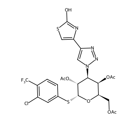 CC(=O)OC[C@H]1O[C@H](Sc2ccc(C(F)(F)F)c(Cl)c2)[C@H](OC(C)=O)[C@@H](n2cc(-c3csc(O)n3)nn2)[C@H]1OC(C)=O